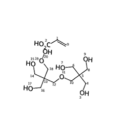 C=CC(=O)O.OCC(CO)(CO)COCC(CO)(CO)COO